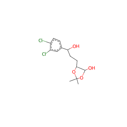 CC1(C)OC(O)C(CCC(O)c2ccc(Cl)c(Cl)c2)O1